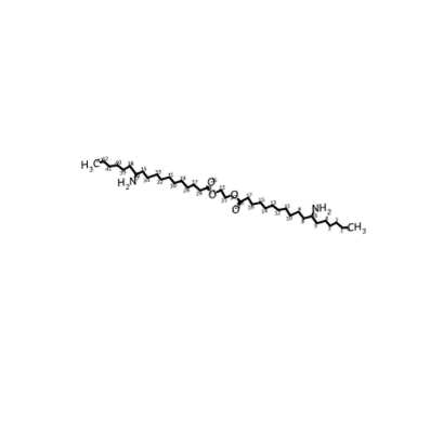 CCCCCCC(N)CCCCCCCCCCC(=O)OCCOC(=O)CCCCCCCCCCC(N)CCCCCC